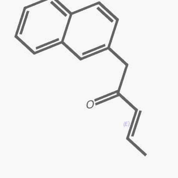 C/C=C/C(=O)Cc1ccc2ccccc2c1